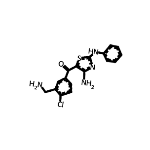 NCc1cc(C(=O)c2sc(Nc3ccccc3)nc2N)ccc1Cl